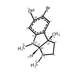 CN1CC[C@@]2(C)c3cc(Br)c(O)cc3N(C)[C@@H]12